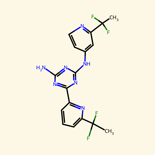 CC(F)(F)c1cc(Nc2nc(N)nc(-c3cccc(C(C)(F)F)n3)n2)ccn1